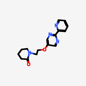 O=C1CCCCN1CCOc1cnc(-c2ccccn2)nc1